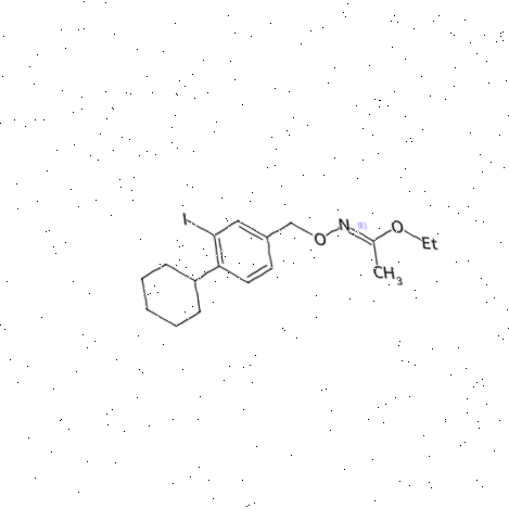 CCO/C(C)=N/OCc1ccc(C2CCCCC2)c(I)c1